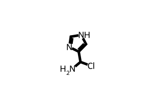 NC(Cl)c1c[nH]cn1